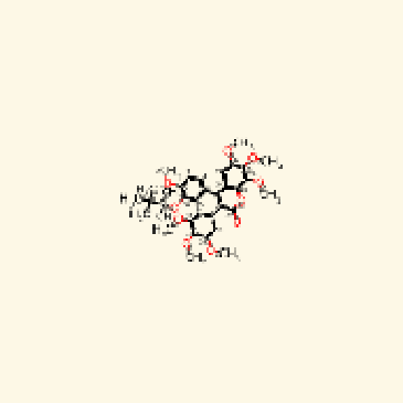 COc1ccc(-c2c(-c3cc(OC)c(OC)c(OC)c3)c(=O)oc3c(OC)c(OC)c(OC)cc23)cc1O[Si](C)(C)C(C)(C)C